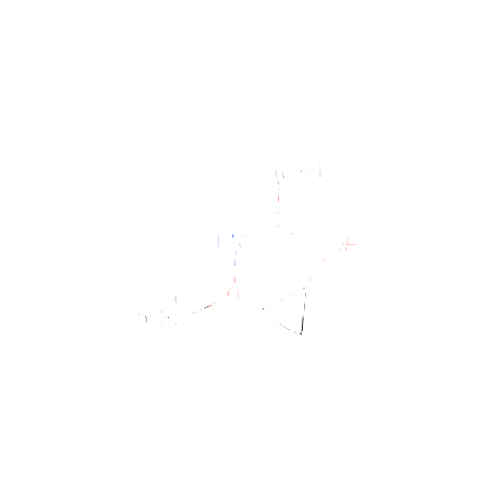 CCCCCCCCONOCCCCCCCC.OC1CC1